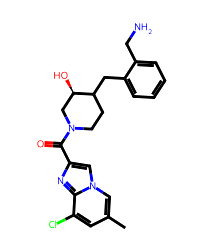 Cc1cc(Cl)c2nc(C(=O)N3CCC(Cc4ccccc4CN)[C@H](O)C3)cn2c1